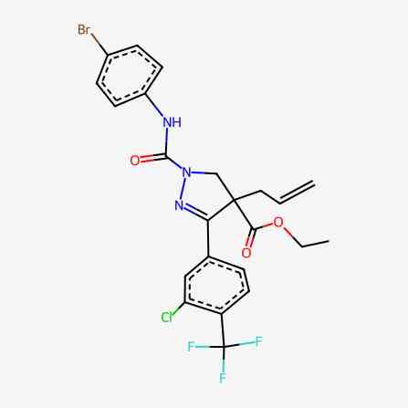 C=CCC1(C(=O)OCC)CN(C(=O)Nc2ccc(Br)cc2)N=C1c1ccc(C(F)(F)F)c(Cl)c1